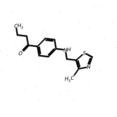 CCCC(=O)c1ccc(NCc2scnc2C)cc1